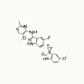 COc1ccc2c(c1)[C@]1(C[C@H]1c1cc3[nH]nc(Nc4nc(C)ncc4OC)c3cc1F)C(=O)N2